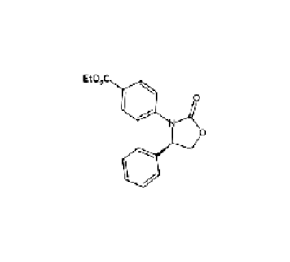 CCOC(=O)c1ccc(N2C(=O)OC[C@H]2c2ccccc2)cc1